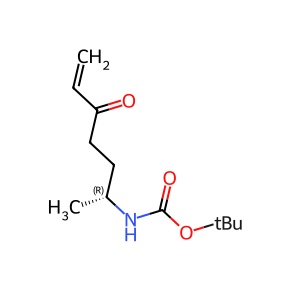 C=CC(=O)CC[C@@H](C)NC(=O)OC(C)(C)C